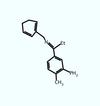 CC/C(=N\CC1=CCCC=C1)c1ccc(C)c(P)c1